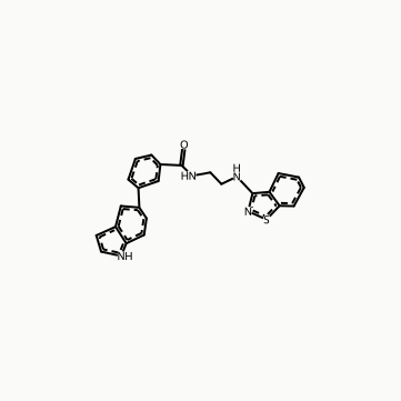 O=C(NCCNc1nsc2ccccc12)c1cccc(-c2ccc3[nH]ccc3c2)c1